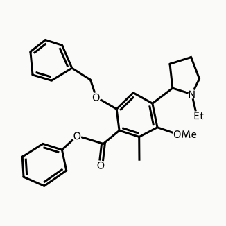 CCN1CCCC1c1cc(OCc2ccccc2)c(C(=O)Oc2ccccc2)c(C)c1OC